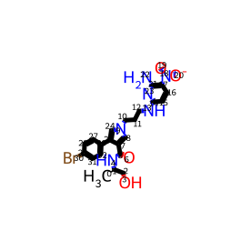 C[C@@H](CO)NC(=O)c1cn(CCCNc2ccc([N+](=O)[O-])c(N)n2)cc1-c1ccc(Br)cc1